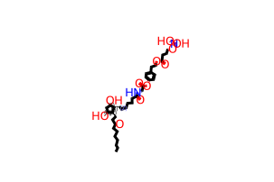 CCCCCCCC(=O)CC[C@@H]1[C@@H](C/C=C\CCCC(=O)NCC(=O)Oc2ccc(CCOC(=O)CCCON(O)O)cc2)[C@@H](O)C[C@H]1O